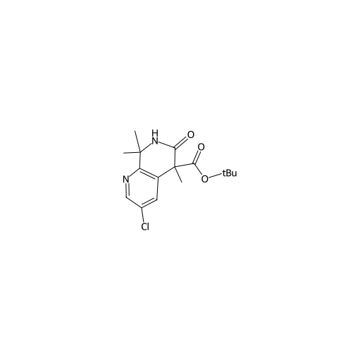 CC(C)(C)OC(=O)C1(C)C(=O)NC(C)(C)c2ncc(Cl)cc21